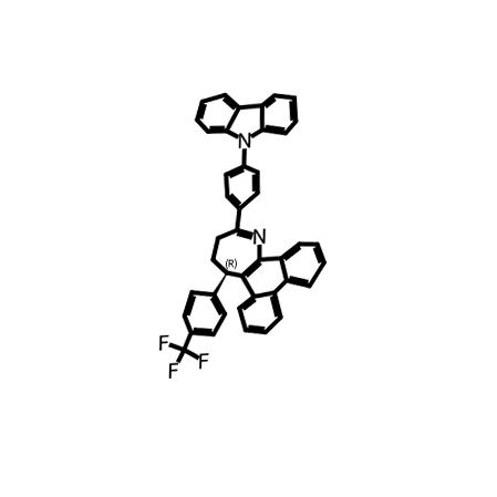 FC(F)(F)c1ccc([C@H]2CCC(c3ccc(-n4c5ccccc5c5ccccc54)cc3)=Nc3c2c2ccccc2c2ccccc32)cc1